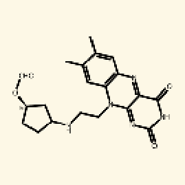 Cc1cc2nc3c(=O)[nH]c(=O)nc-3n(CCNC3CC[C@@H](OC=O)C3)c2cc1C